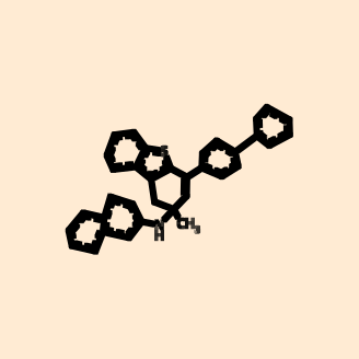 CC1(Nc2ccc3ccccc3c2)C=C(c2ccc(-c3ccccc3)cc2)c2sc3ccccc3c2C1